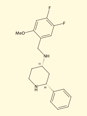 COc1cc(F)c(F)cc1CN[C@H]1CCN[C@@H](c2ccccc2)C1